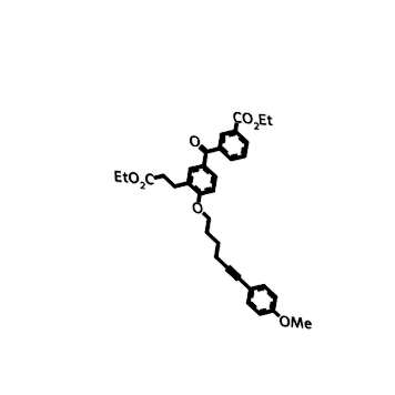 CCOC(=O)CCc1cc(C(=O)c2cccc(C(=O)OCC)c2)ccc1OCCCCC#Cc1ccc(OC)cc1